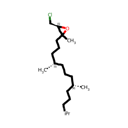 CC(C)CCC[C@@H](C)CCC[C@H](C)CCCC1(C)O[C@@H]1CCl